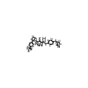 Fc1c(NCc2ccc(Cn3ccnc3)cc2)ncnc1N1CCCC1c1ccc(C(F)(F)F)cc1